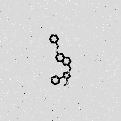 COc1cn(Cc2ccc3cc(OCc4ccccc4)ccc3c2)cc1-c1ccccc1